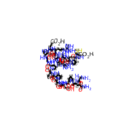 CC(C)C[C@H](NC(=O)CNC(=O)[C@@H]1CCCN1C(=O)[C@H](CC(=O)O)NC(=O)[C@@H]1CCCN1C(=O)[C@H](CO)NC(=O)[C@H](CO)NC(=O)[C@@H]1CCCN1C(=O)[C@H](CCC(N)=O)NC(=O)CN)C(=O)N[C@@H](CCC(=O)O)C(=O)N[C@@H](CCCNC(=N)N)C(=O)N[C@@H](CCCNC(=N)N)C(=O)N[C@H](C(=O)N[C@@H](C)C(=O)N[C@@H](C)C(=O)N1CCC[C@H]1C(=O)N[C@@H](CS)C(=O)O)C(C)C